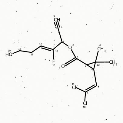 C#CC(OC(=O)C1C(C=C(Cl)Cl)C1(C)C)/C(F)=C/CCO